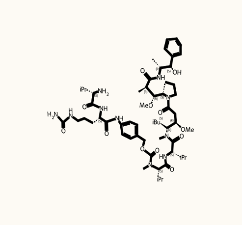 CC[C@H](C)[C@H]([C@@H](CC(=O)N1CCC[C@H]1[C@H](OC)[C@@H](C)C(=O)N[C@H](C)[C@@H](O)c1ccccc1)OC)N(C)C(=O)[C@@H](NC(=O)[C@H](C(C)C)N(C)C(=O)OCc1ccc(NC(=O)[C@H](CCCNC(N)=O)NC(=O)[C@@H](N)C(C)C)cc1)C(C)C